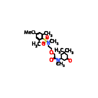 COc1cc(C)c(S(=O)(=O)N(C)CCOCC(=O)N(C)C2CC(=O)CC(C)(C)C2)c(C)c1